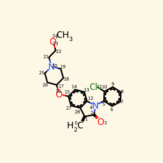 C=C1C(=O)N(c2ccccc2Cl)c2ccc(OC3CCN(CCOC)CC3)cc21